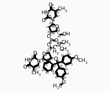 COc1ccc(C(O[C@@H]2C[C@H](n3cc(C)c(=O)[nH]c3=O)O[C@@H]2COP(O[C@@H]2C[C@H](n3cc(C)c(=O)[nH]c3=O)O[C@@H]2CO)O[Si](C)(C)C)(c2ccccc2)c2ccc(OC)cc2)cc1